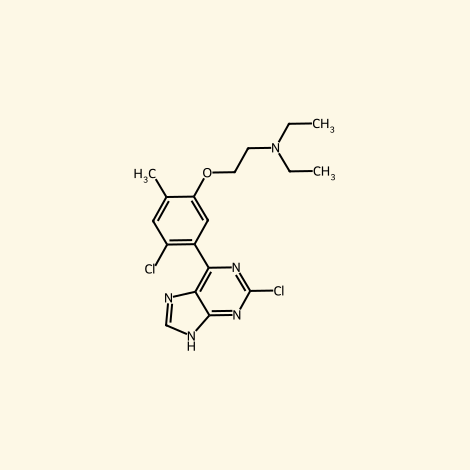 CCN(CC)CCOc1cc(-c2nc(Cl)nc3[nH]cnc23)c(Cl)cc1C